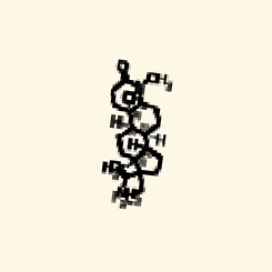 CN1C(=O)CC[C@@]2(C)C1CC[C@@H]1[C@H]2CC[C@@]2(C)[C@H]1CCC2(CC(F)(F)F)C(N)=O